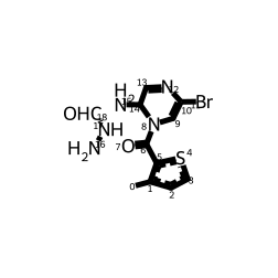 Cc1ccsc1C(=O)N1C=C(Br)N=CC1N.NNC=O